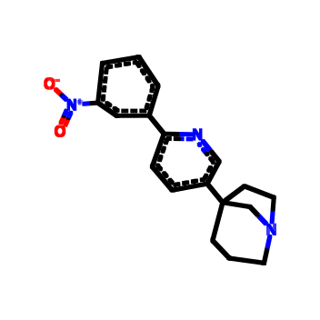 O=[N+]([O-])c1cccc(-c2ccc(C34CCCN(CC3)C4)cn2)c1